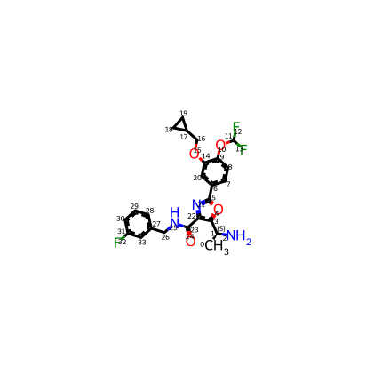 C[C@H](N)c1oc(-c2ccc(OC(F)F)c(OCC3CC3)c2)nc1C(=O)NCc1cccc(F)c1